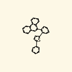 c1ccc(-c2ccc(-c3ccccc3-c3cc4ccccc4c4ccccc34)s2)cc1